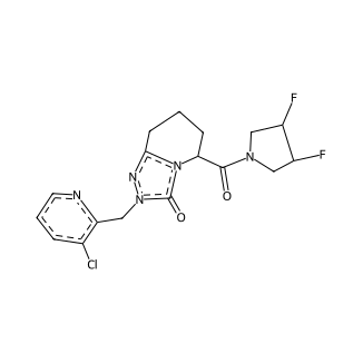 O=C(C1CCCc2nn(Cc3ncccc3Cl)c(=O)n21)N1CC(F)C(F)C1